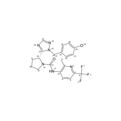 Cc1nc(C(F)(F)F)ccc1NC(=O)N1CCC[C@@H]1c1ncnn1Cc1ccc(Cl)cc1